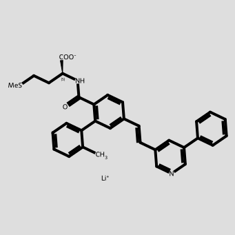 CSCC[C@H](NC(=O)c1ccc(C=Cc2cncc(-c3ccccc3)c2)cc1-c1ccccc1C)C(=O)[O-].[Li+]